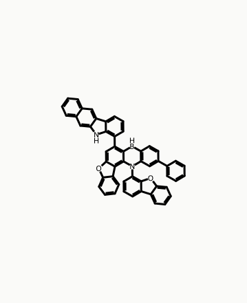 B1c2ccc(-c3ccccc3)cc2N(c2cccc3c2oc2ccccc23)c2c1c(-c1cccc3c1[nH]c1cc4ccccc4cc13)cc1oc3ccccc3c21